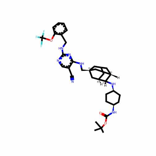 CC(C)(C)OC(=O)N[C@H]1CC[C@@H](N[C@@H]2[C@@H]3CC4C[C@H]2C[C@@](CNc2nc(NCc5ccccc5OC(F)(F)F)ncc2C#N)(C4)C3)CC1